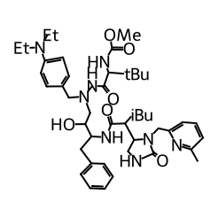 CCC(C)C(C(=O)NC(Cc1ccccc1)C(O)CN(Cc1ccc(N(CC)CC)cc1)NC(=O)C(NC(=O)OC)C(C)(C)C)C1CNC(=O)N1Cc1cccc(C)n1